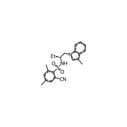 CC[C@@H](Cn1cc(C)c2ccccc21)NS(=O)(=O)c1c(C)cc(C)cc1C#N